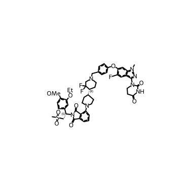 CCOc1cc([C@@H](CS(C)(=O)=O)N2C(=O)c3cccc(N4CCC([C@H]5CCN(Cc6ccc(Oc7cc8c(cc7F)c(N7CCC(=O)NC7=O)nn8C)cc6)CC5(F)F)CC4)c3C2=O)ccc1OC